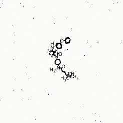 CN(C(=O)/C=C/C[N+](C)(C)C)[C@H]1CC[C@@H](n2c(=O)n(-c3ccc(Oc4ccccc4)cc3)c3c(N)ncnc32)CC1